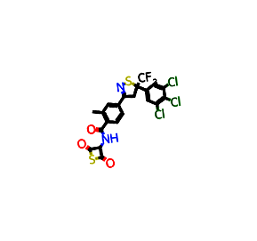 Cc1cc(C2=NSC(c3cc(Cl)c(Cl)c(Cl)c3)(C(F)(F)F)C2)ccc1C(=O)NC1C(=O)SC1=O